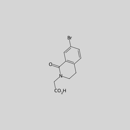 O=C(O)CN1CCc2ccc(Br)cc2C1=O